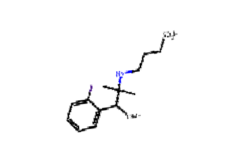 COC(c1ccccc1I)C(C)(C)NCCCS(=O)(=O)O